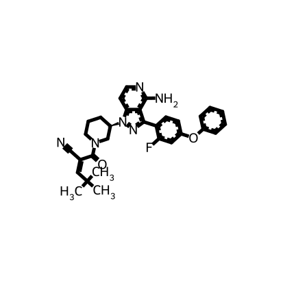 CC(C)(C)/C=C(/C#N)C(=O)N1CCC[C@@H](n2nc(-c3ccc(Oc4ccccc4)cc3F)c3c(N)nccc32)C1